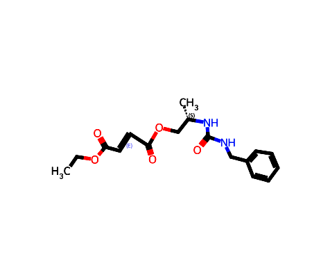 CCOC(=O)/C=C/C(=O)OC[C@H](C)NC(=O)NCc1ccccc1